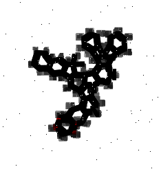 CC1(C)c2cc3ccccc3cc2-c2cc3c4c5c(ncc4n4c6cnc7c(c6c(c21)c34)C1c2ccccc2C12c1ccccc1C72)C1c2ccccc2C5c2ccccc21